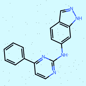 c1ccc(-c2ccnc(Nc3ccc4cn[nH]c4c3)n2)cc1